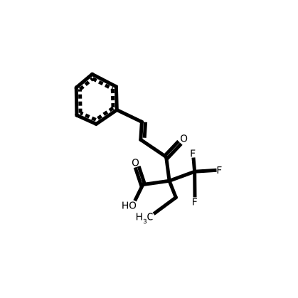 CCC(C(=O)O)(C(=O)C=Cc1ccccc1)C(F)(F)F